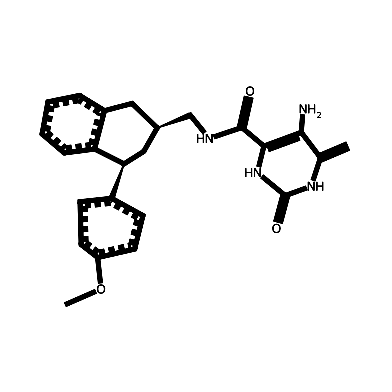 C=C1NC(=O)NC(C(=O)NC[C@@H]2Cc3ccccc3[C@H](c3ccc(OC)cc3)C2)=C1N